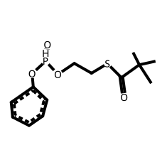 CC(C)(C)C(=O)SCCO[PH](=O)Oc1ccccc1